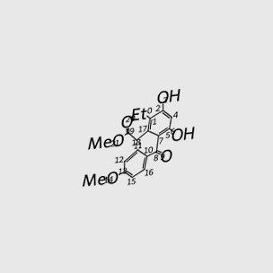 CCc1c(O)cc(O)c(C(=O)c2ccc(OC)cc2)c1CC(=O)OC